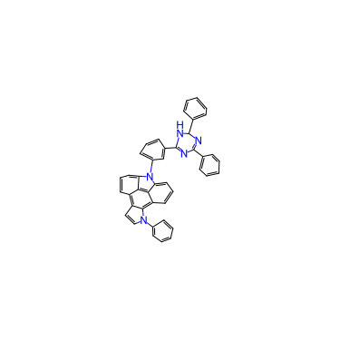 c1ccc(C2=NC(c3ccccc3)NC(c3cccc(-n4c5cccc6c7ccn(-c8ccccc8)c7c7cccc4c7c65)c3)=N2)cc1